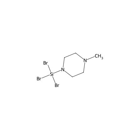 CN1CCN([Si](Br)(Br)Br)CC1